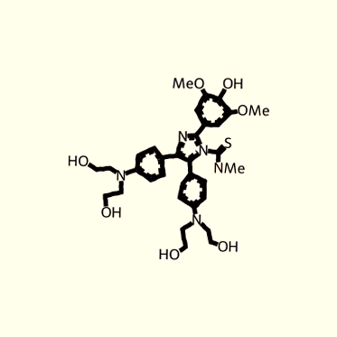 CNC(=S)n1c(-c2cc(OC)c(O)c(OC)c2)nc(-c2ccc(N(CCO)CCO)cc2)c1-c1ccc(N(CCO)CCO)cc1